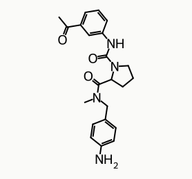 CC(=O)c1cccc(NC(=O)N2CCCC2C(=O)N(C)Cc2ccc(N)cc2)c1